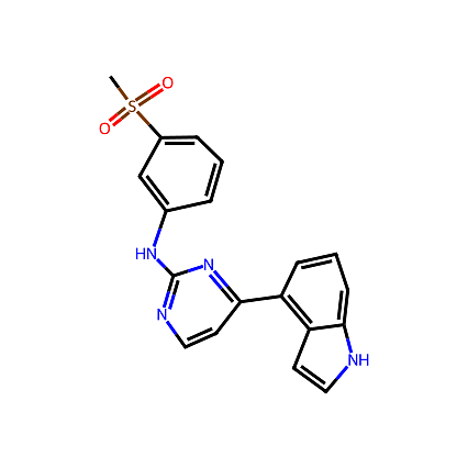 CS(=O)(=O)c1cccc(Nc2nccc(-c3cccc4[nH]ccc34)n2)c1